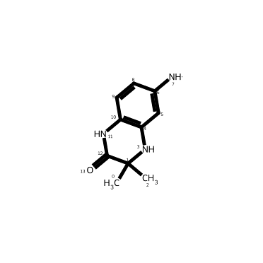 CC1(C)Nc2cc([NH])ccc2NC1=O